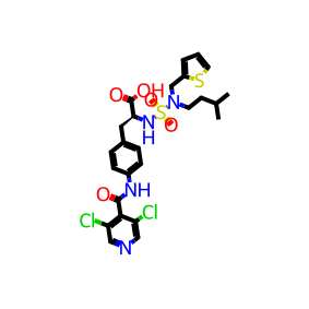 CC(C)CCN(Cc1cccs1)S(=O)(=O)N[C@@H](Cc1ccc(NC(=O)c2c(Cl)cncc2Cl)cc1)C(=O)O